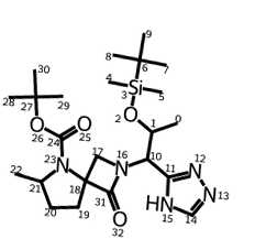 CC(O[Si](C)(C)C(C)(C)C)C(c1nnc[nH]1)N1CC2(CCC(C)N2C(=O)OC(C)(C)C)C1=O